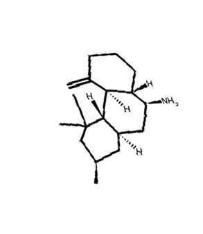 C=C1CCC[C@H]2[C@H]1[C@@H]1[C@H](C[C@@H](C)CC1(C)C)C[C@@H]2N